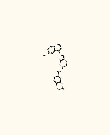 COc1ccc2nccc(-n3cc4c(n3)CC(NC(=O)c3ccc5c(c3)NC(=O)CS5)CC4)c2c1